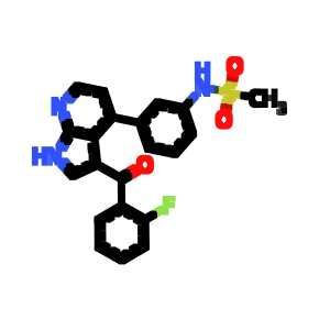 CS(=O)(=O)Nc1cccc(-c2ccnc3[nH]cc(C(=O)c4ccccc4F)c23)c1